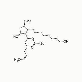 C/C=C\CCCC(OC(=O)C(C)(C)C)C1[C@@H](/C=C/CCCCCCO)[C@H](OC)C[C@@H]1O